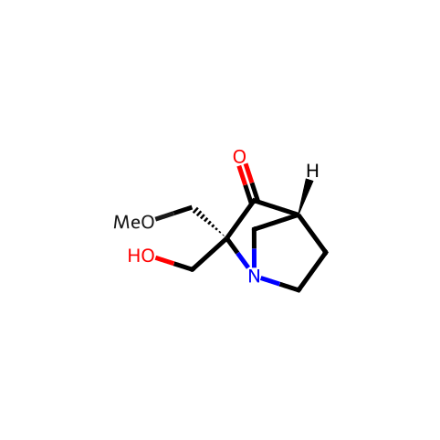 COC[C@]1(CO)C(=O)[C@@H]2CCN1C2